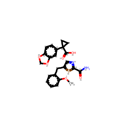 COc1ccccc1Cc1cnc(C(N)=O)s1.O=C(O)C1(c2ccc3c(c2)OCO3)CC1